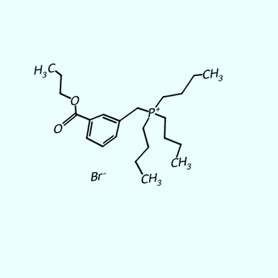 CCCC[P+](CCCC)(CCCC)Cc1cccc(C(=O)OCCC)c1.[Br-]